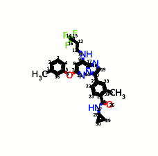 Cc1cccc(Oc2cc(NCCC(F)(F)F)c3ncc(-c4ccc(C(=O)NC5CC5)c(C)c4)n3n2)c1